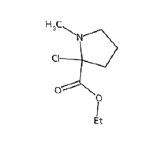 CCOC(=O)C1(Cl)CCCN1C